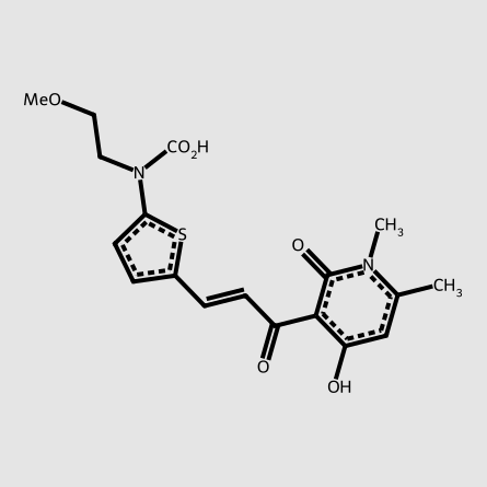 COCCN(C(=O)O)c1ccc(C=CC(=O)c2c(O)cc(C)n(C)c2=O)s1